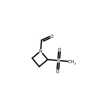 CS(=O)(=O)C1CCN1[C]=O